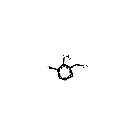 N#CCc1cccc(Cl)c1N